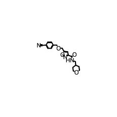 N#Cc1ccc(COCc2cc(C(=O)NCC3CCOCC3)no2)cc1